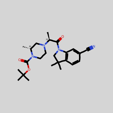 C[C@@H]1CN([C@@H](C)C(=O)N2CC(C)(C)c3ccc(C#N)cc32)CCN1C(=O)OC(C)(C)C